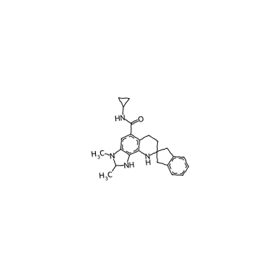 CC1Nc2c(cc(C(=O)NC3CC3)c3c2NC2(CC3)Cc3ccccc3C2)N1C